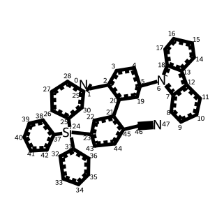 N#Cc1ccc(-n2c3ccccc3c3ccccc32)cc1-c1cc([Si](c2ccccc2)(c2ccccc2)c2ccccc2)ccc1C#N